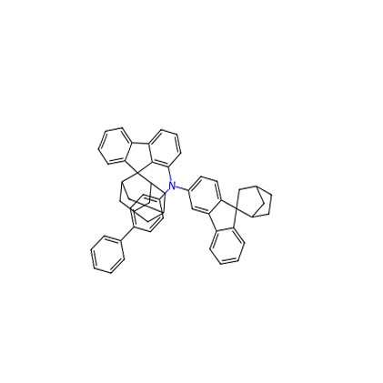 c1ccc(-c2ccc(N(c3ccc4c(c3)-c3ccccc3C43CC4CCC3C4)c3cccc4c3C3(c5ccccc5-4)C4CC5CC(C4)CC3C5)cc2)cc1